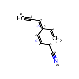 C#C/C=C(C=C)\C=C/CC#N